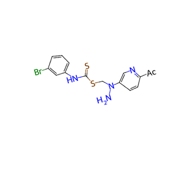 CC(=O)c1ccc(N(N)CSC(=S)Nc2cccc(Br)c2)cn1